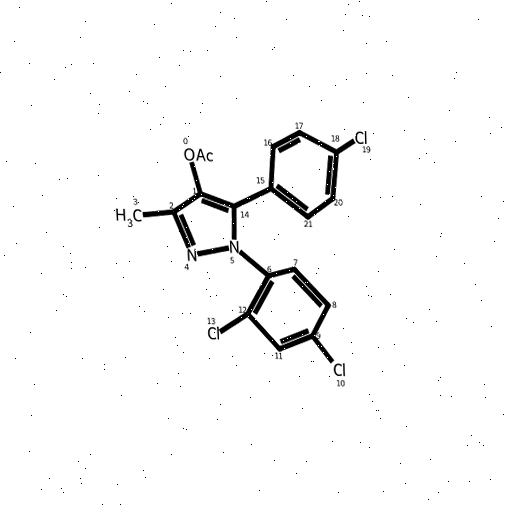 CC(=O)Oc1c(C)nn(-c2ccc(Cl)cc2Cl)c1-c1ccc(Cl)cc1